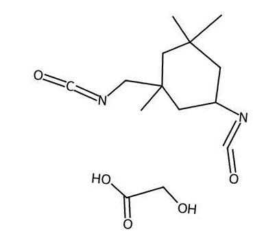 CC1(C)CC(N=C=O)CC(C)(CN=C=O)C1.O=C(O)CO